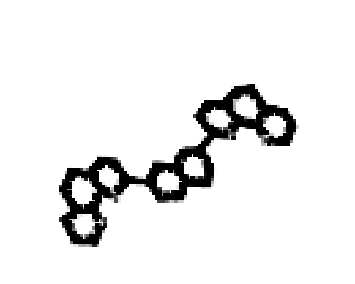 c1cnc2c(c1)ccc1ccc(-c3ccc4ccc(-c5ccc6ccc7cccnc7c6n5)cc4c3)nc12